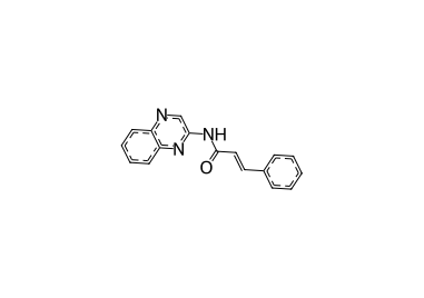 O=C(C=Cc1ccccc1)Nc1cnc2ccccc2n1